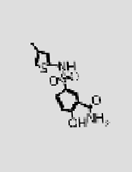 Cc1csc(NS(=O)(=O)c2ccc(O)c(C(N)=O)c2)c1